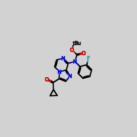 CC(C)(C)OC(=O)N(c1ccccc1F)c1nccn2c(C(=O)C3CC3)cnc12